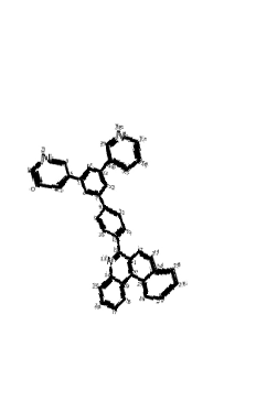 c1cncc(-c2cc(-c3ccc(-c4nc5ccccc5c5c4ccc4ccccc45)cc3)cc(-c3cccnc3)c2)c1